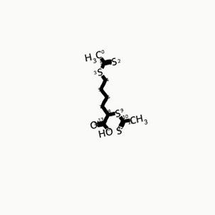 CC(=S)SCCCCC(SC(C)=S)C(=O)O